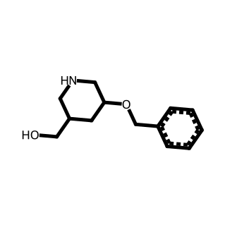 OCC1CNCC(OCc2ccccc2)C1